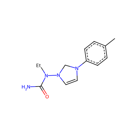 CCN(C(N)=O)N1C=CN(c2ccc(C)cc2)C1